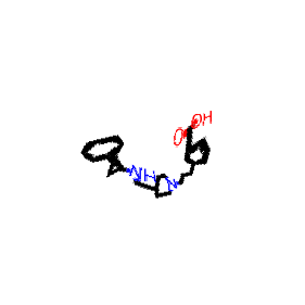 O=C(O)c1cccc(CCCN2CCC(CNC3CC3c3ccccc3)CC2)c1